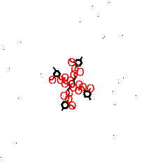 COc1cc(C)ccc1OC(=O)O/C=C1\OC(OC(=O)Oc2ccc(C)cc2OC)/C(=C/OC(=O)Oc2ccc(C)cc2OC)OC1OC(=O)Oc1ccc(C)cc1OC